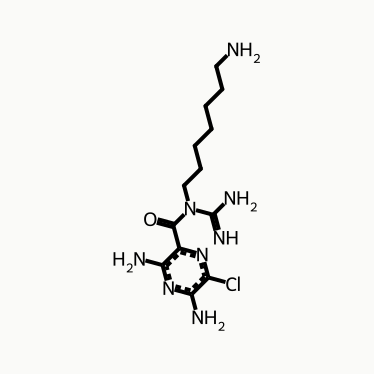 N=C(N)N(CCCCCCCN)C(=O)c1nc(Cl)c(N)nc1N